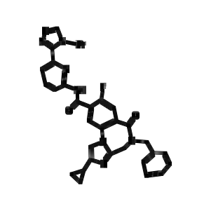 CC(C)n1cnnc1-c1cccc(NC(=O)c2cc3c(cc2F)C(=O)N(Cc2ccccc2)Cc2nc(C4CC4)cn2-3)n1